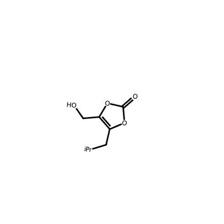 CC(C)Cc1oc(=O)oc1CO